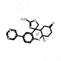 NC1=NC2(CO1)c1cc(-c3cncnc3)ccc1O[C@H]1CCC(=O)C[C@@H]12